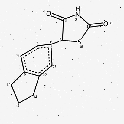 O=C1NC(=O)C(c2ccc3c(c2)CCC3)S1